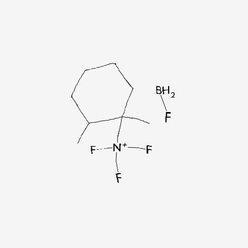 BF.CC1CCCCC1(C)[N+](F)(F)F